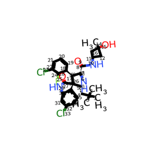 CC(C)(C)C[C@H]1N[C@@H](C(=O)NC2CC(C)(O)C2)[C@H](C2C=CC=C(Cl)C2F)[C@@]12C(=O)Nc1cc(Cl)ccc12